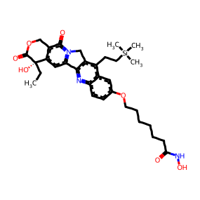 CC[C@@]1(O)C(=O)OCc2c1cc1n(c2=O)Cc2c-1nc1ccc(OCCCCCCC(=O)NO)cc1c2CC[Si](C)(C)C